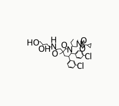 CCC(CN(C)S(=O)(=O)C1CC1)N1C(=O)C(C)(CC(=O)NCCC(O)CO)CC(c2cccc(Cl)c2)C1c1ccc(Cl)cc1